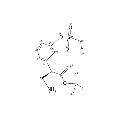 CC(C)(C)OC(=O)[C@@H](CN)c1cccc(OS(=O)(=O)CF)c1